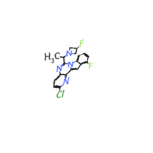 CC(c1nc2ccc(Cl)nc2c2cc3c(F)cccc3n12)N1CC(F)C1